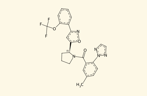 Cc1ccc(-n2nccn2)c(C(=O)N2CCC[C@H]2c2cc(-c3ccccc3OC(F)(F)F)no2)c1